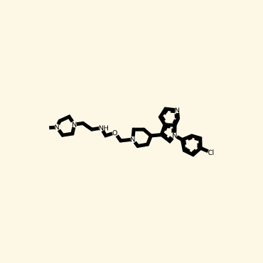 CN1CCN(CCNCOCN2CCC(c3cn(-c4ccc(Cl)cc4)c4cnccc34)CC2)CC1